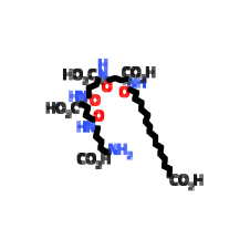 N[C@@H](CCCCNC(=O)CC[C@H](NC(=O)CC[C@H](NC(=O)CC[C@H](NC(=O)CCCCCCCCCCCCCCCCC(=O)O)C(=O)O)C(=O)O)C(=O)O)C(=O)O